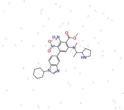 COC(=O)c1c(N(C)C(C)C2CCCN2)cc(-c2ccc3c(c2)ncn3C2CCCCC2)c([N+](=O)[O-])c1N